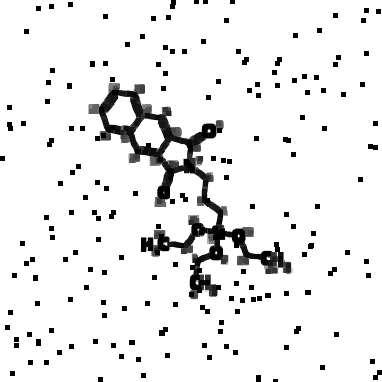 CCO[Si](CCCN1C(=O)c2cc3ccccc3cc2C1=O)(OCC)OCC